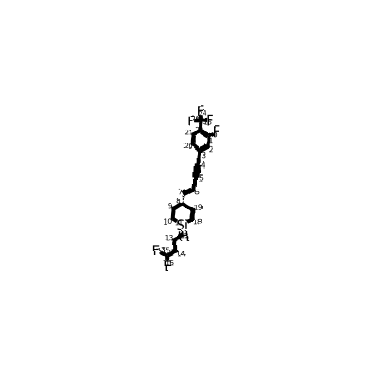 Fc1cc(C#CC=C[C@H]2CC[Si@H](CCCC(F)F)CC2)ccc1C(F)(F)F